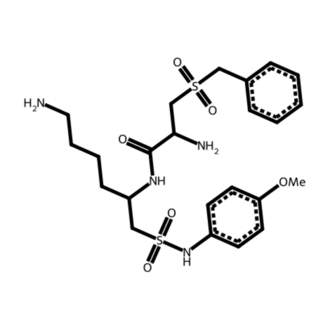 COc1ccc(NS(=O)(=O)CC(CCCCN)NC(=O)C(N)CS(=O)(=O)Cc2ccccc2)cc1